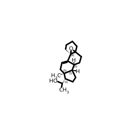 CC(O)[C@H]1CC[C@H]2[C@@H]3CCC45CCCC[C@@]4(O5)C3=CC[C@]12C